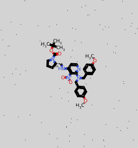 COc1ccc(CN(Cc2ccc(OC)cc2)c2nccc(NC[C@@H]3CCCN3C(=O)OC(C)(C)C)c2[N+](=O)[O-])cc1